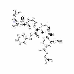 COc1cc(N(C)CCN(C)C)ccc1Nc1nccc(N(C(=O)OCc2ccccc2)c2cccc(NC(=O)/C(C#N)=C\C3CC3)c2)n1